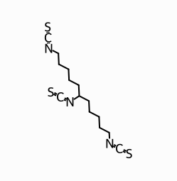 S=C=NCCCCCC(CCCCCN=C=S)N=C=S